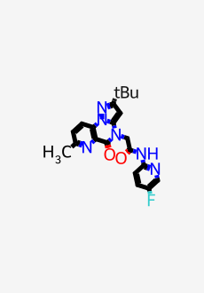 Cc1ccc2c(n1)c(=O)n(CC(=O)Nc1ccc(F)cn1)c1cc(C(C)(C)C)nn21